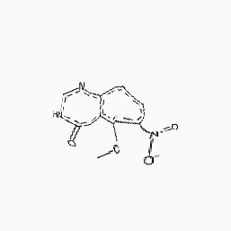 COc1c([N+](=O)[O-])ccc2nc[nH]c(=O)c12